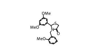 COc1cc(OC)cc(C2SCC(=O)N2Cc2ccccc2OC)c1